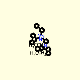 CC1(C)CCC(C)(C)c2cc3c(cc21)c1c2ccccc2ccc1n3-c1cccc(-c2nc(-c3cccc(-c4ccccc4)c3)nc(-c3cc4ccccc4c4ccccc34)n2)c1